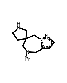 CC(C)N1Cc2ccnn2CC2(CCNC2)C1